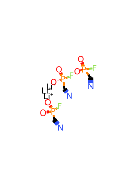 N#CP(=O)([O-])F.N#CP(=O)([O-])F.N#CP(=O)([O-])F.[Li+].[Li+].[Li+]